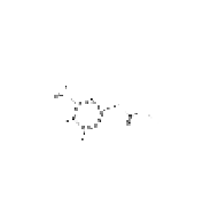 NNC(=O)Cc1cc(O)c(O)c([N+](=O)[O-])c1